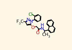 CC(NC(=O)COc1cc(C(F)(F)F)nn1-c1ccccc1Cl)c1cccc2ccccc12